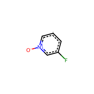 [O-][n+]1c[c]cc(F)c1